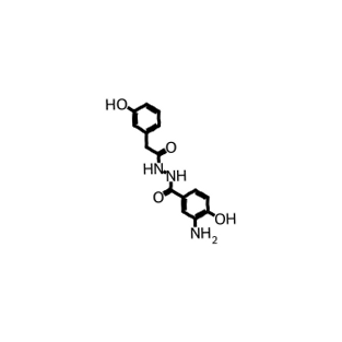 Nc1cc(C(=O)NNC(=O)Cc2cccc(O)c2)ccc1O